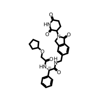 O=C1CCC(N2Cc3cc(CNC(=O)[C@@H](NC(=O)COC4CCCC4)c4ccccc4)ccc3C2=O)C(=O)N1